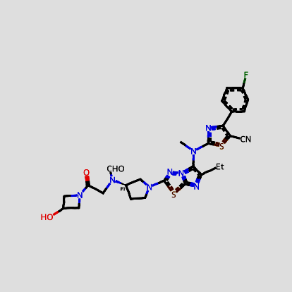 CCc1nc2sc(N3CC[C@@H](N(C=O)CC(=O)N4CC(O)C4)C3)nn2c1N(C)c1nc(-c2ccc(F)cc2)c(C#N)s1